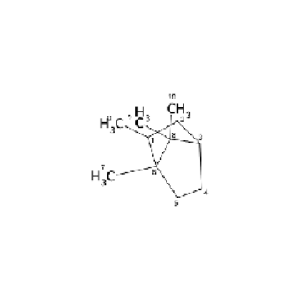 CC1CC2CCC1(C)C2(C)C